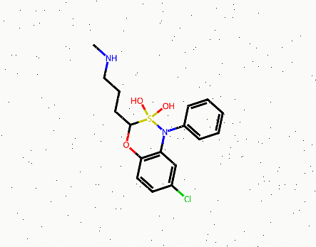 CNCCCC1Oc2ccc(Cl)cc2N(c2ccccc2)S1(O)O